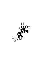 N#C[C@]12O[C@@H](c3csc4c(N)ncnc34)[C@H](F)[C@@]1(O)C2O